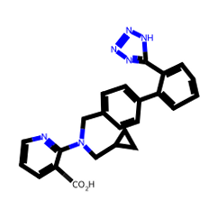 O=C(O)c1cccnc1N(Cc1ccc(-c2ccccc2-c2nnn[nH]2)cc1)CC1CC1